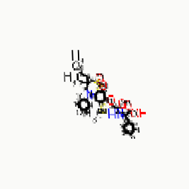 CCCCC1(CC)CN(c2ccccc2)c2cc(SC)c(OCC(=O)NC(C(=O)O)c3ccccc3)cc2S(=O)(=O)C1